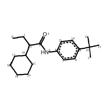 CCC(C(=O)Nc1ccc(C(C)(C)C)cc1)C1CCCCC1